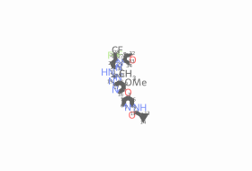 COc1c(Oc2ccnc(NC(=O)C3CC3)c2)cnc2nc(Nc3cc(C(F)(F)C(F)(F)F)n(C4CCOC4)n3)n(C)c12